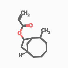 C=CC(=O)OC1C[C@@H]2CCCCC(C)C1C2